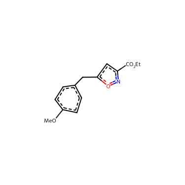 CCOC(=O)c1cc(Cc2ccc(OC)cc2)on1